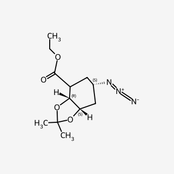 CCOC(=O)C1C[C@H](N=[N+]=[N-])C[C@@H]2OC(C)(C)O[C@H]12